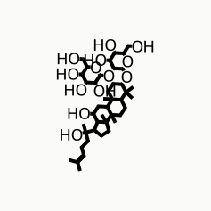 CC(C)=CCCC(C)(O)C1CCC2(C)C1C(O)CC1C3(C)CCC(OC4OC(CO)C(O)C(O)C4OC4OC(CO)C(O)C(O)C4O)C(C)(C)C3CCC12C